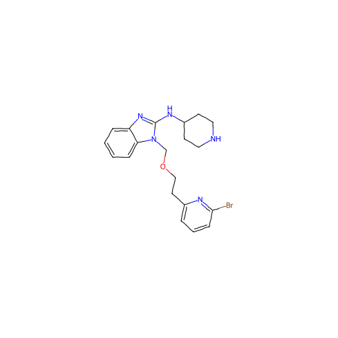 Brc1cccc(CCOCn2c(NC3CCNCC3)nc3ccccc32)n1